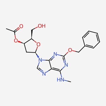 CNc1nc(OCc2ccccc2)nc2c1ncn2[C@H]1C[C@@H](OC(C)=O)[C@@H](CO)O1